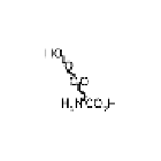 N[C@@H](CCC(=O)OCCOCCO)C(=O)O